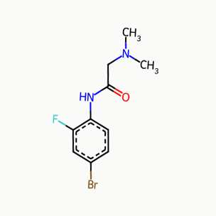 CN(C)CC(=O)Nc1ccc(Br)cc1F